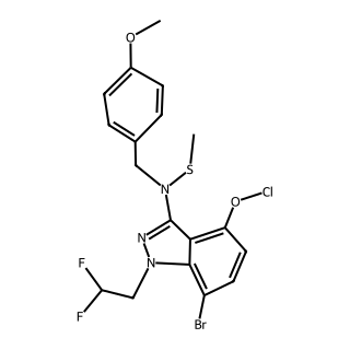 COc1ccc(CN(SC)c2nn(CC(F)F)c3c(Br)ccc(OCl)c23)cc1